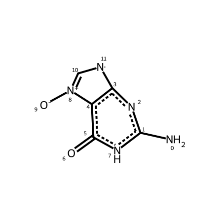 Nc1nc2c(c(=O)[nH]1)[N+]([O-])=C[N]2